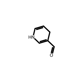 O=CC1=CNC=CC1